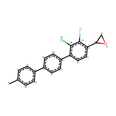 Cc1ccc(-c2ccc(-c3ccc(C4CO4)c(F)c3Cl)cc2)cc1